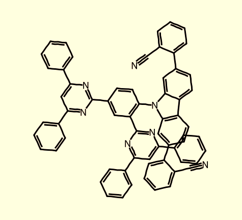 N#Cc1ccccc1-c1ccc2c3ccc(-c4ccccc4C#N)cc3n(-c3ccc(-c4nc(-c5ccccc5)cc(-c5ccccc5)n4)cc3-c3nc(-c4ccccc4)cc(-c4ccccc4)n3)c2c1